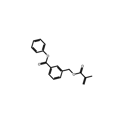 C=C(C)C(=O)OCc1cccc(C(=O)Oc2ccccc2)c1